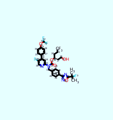 CC(C)(F)c1nc(C23CCC(CN(C(=O)O[C@H](CCO)CCC(F)(F)F)c4cc(-c5ccc(OC(F)F)cc5)c(F)cn4)(CC2)CC3)no1